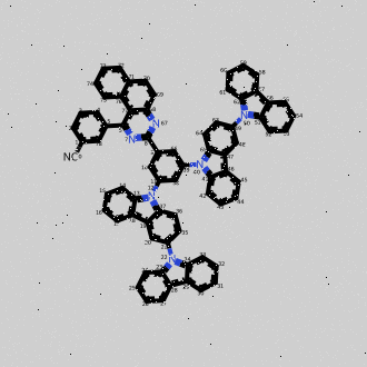 N#Cc1cccc(-c2nc(-c3cc(-n4c5ccccc5c5cc(-n6c7ccccc7c7ccccc76)ccc54)cc(-n4c5ccccc5c5cc(-n6c7ccccc7c7ccccc76)ccc54)c3)nc3ccc4ccccc4c23)c1